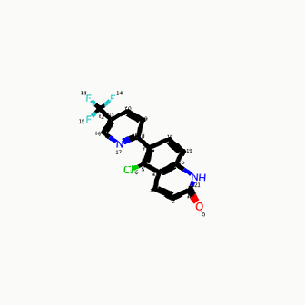 O=c1ccc2c(Cl)c(-c3ccc(C(F)(F)F)cn3)ccc2[nH]1